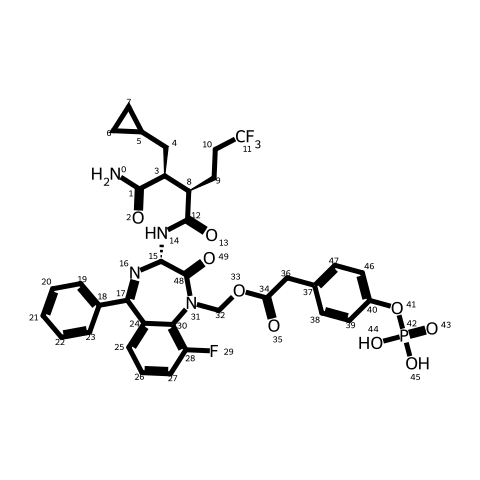 NC(=O)[C@@H](CC1CC1)[C@@H](CCC(F)(F)F)C(=O)N[C@H]1N=C(c2ccccc2)c2cccc(F)c2N(COC(=O)Cc2ccc(OP(=O)(O)O)cc2)C1=O